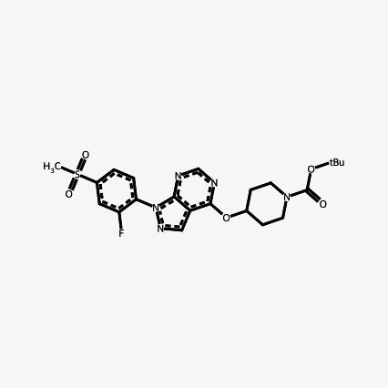 CC(C)(C)OC(=O)N1CCC(Oc2ncnc3c2cnn3-c2ccc(S(C)(=O)=O)cc2F)CC1